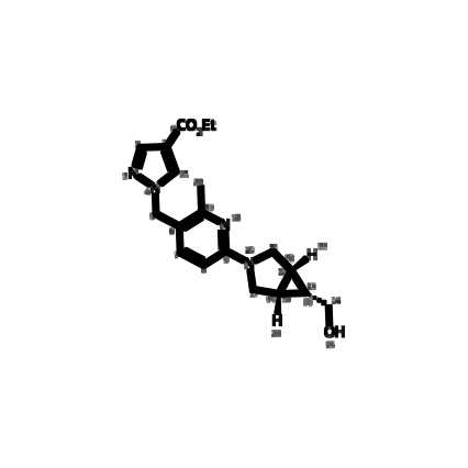 CCOC(=O)c1cnn(Cc2ccc(N3C[C@@H]4[C@H](CO)[C@@H]4C3)nc2C)c1